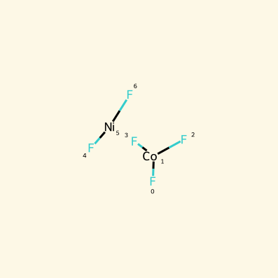 [F][Co]([F])[F].[F][Ni][F]